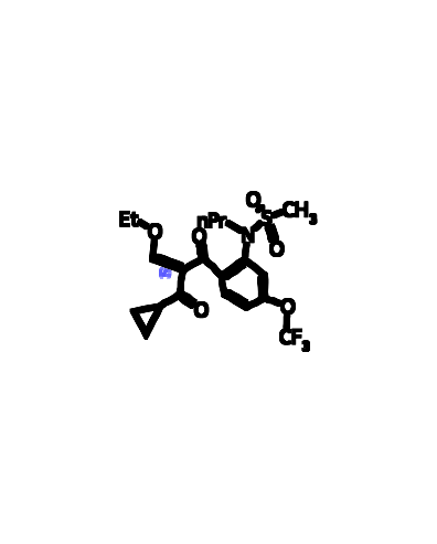 CCCN(c1cc(OC(F)(F)F)ccc1C(=O)/C(=C\OCC)C(=O)C1CC1)S(C)(=O)=O